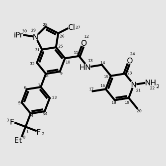 CCC(F)(F)c1ccc(-c2cc(C(=O)NCc3c(C)cc(C)n(N)c3=O)c3c(Cl)cn(C(C)C)c3c2)cc1